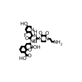 NCCN1CCN(C(=O)N[C@H](C(=O)N[C@H]2Cc3cccc(C(=O)O)c3OB2O)c2ncc(O)cc2F)C(=O)C1=O